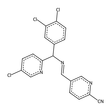 N#Cc1ccc(/C=N/C(c2ccc(Cl)c(Cl)c2)c2ccc(Cl)cn2)cn1